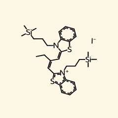 CCC(=Cc1sc2ccccc2[n+]1CCC[Si](C)(C)C)C=C1Sc2ccccc2N1CCC[Si](C)(C)C.[I-]